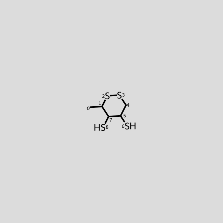 CC1SSCC(S)C1S